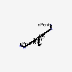 CCCCC/C=C\C/C=C\CCCCCCCC(=O)OCCN(CCOC(=O)CCCCCCC/C=C\C/C=C\CCCCC)C(=O)OCC[N+](C)(C)C